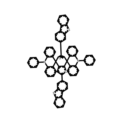 c1ccc(N2c3ccccc3C3(c4ccccc42)c2cc(-c4ccc5c(c4)sc4ccccc45)oc2C2(c4ccccc4N(c4ccccc4)c4ccccc42)c2cc(-c4ccc5c(c4)sc4ccccc45)oc23)cc1